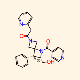 O=C(Cc1ccccn1)N1CC2(C1)[C@@H](c1ccccc1)[C@@H](CO)N2C(=O)c1ccncc1